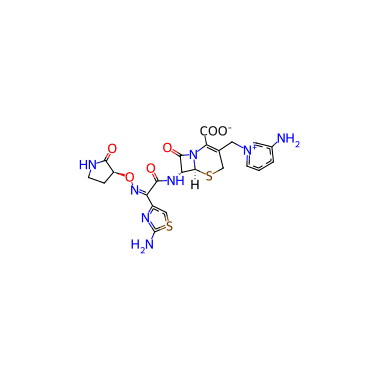 Nc1ccc[n+](CC2=C(C(=O)[O-])N3C(=O)[C@@H](NC(=O)/C(=N\O[C@H]4CCNC4=O)c4csc(N)n4)[C@@H]3SC2)c1